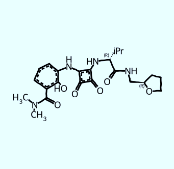 CC(C)[C@@H](Nc1c(Nc2cccc(C(=O)N(C)C)c2O)c(=O)c1=O)C(=O)NC[C@H]1CCCO1